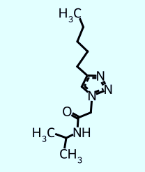 CCCCCc1cn(CC(=O)NC(C)C)nn1